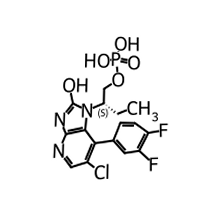 CC[C@@H](COP(=O)(O)O)n1c(O)nc2ncc(Cl)c(-c3ccc(F)c(F)c3)c21